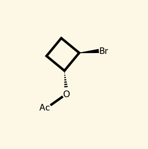 CC(=O)O[C@@H]1CC[C@H]1Br